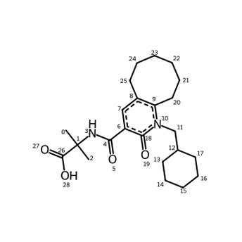 CC(C)(NC(=O)c1cc2c(n(CC3CCCCC3)c1=O)CCCCCC2)C(=O)O